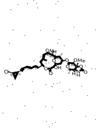 CO[C@@H]1/C=C(\C)C[C@H](/C=C/C=C/C#C[C@@H]2C[C@H]2Cl)OC(=O)C[C@]2(O)C[C@H](O[C@@H]3O[C@@H](C)[C@H]4NC(=O)O[C@@]4(C)[C@H]3OC)[C@@H](C)[C@@H](O2)[C@@H]1C